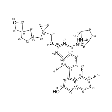 Oc1cc(-c2ccc3c(N4CC5CCC(C4)N5)nc(OCC4(CN5CCC6(COC6)C5)CC4)nc3c2F)c2c(F)c(F)ccc2c1